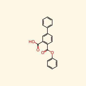 O=C(O)c1cc(-c2ccccc2)ccc1C(=O)Oc1ccccc1